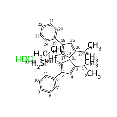 CC(C)C1=CC(c2ccccc2)=[C]([Hf]([CH3])([CH3])(=[SiH2])[C]2=C(c3ccccc3)C=C(C(C)C)C2)C1.Cl.Cl